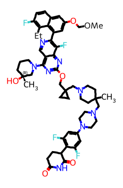 CCc1c(F)ccc2cc(OCOC)cc(-c3ncc4c(N5CCC[C@@](C)(O)C5)nc(OCC5(CN6CCC(C)(CN7CCN(c8cc(F)c(C9CCC(=O)NC9=O)c(F)c8)CC7)CC6)CC5)nc4c3F)c12